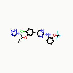 CC(Cn1cnnn1)Oc1cc(-c2cnc(Nc3ccccc3OC(F)(F)F)nc2)ccc1Cl